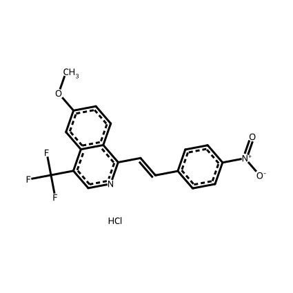 COc1ccc2c(C=Cc3ccc([N+](=O)[O-])cc3)ncc(C(F)(F)F)c2c1.Cl